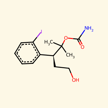 CC(C)(OC(N)=O)[C@@H](CCO)c1ccccc1I